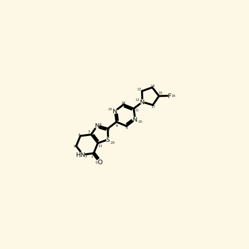 O=C1NCCc2nc(-c3cnc(N4CCC(F)C4)cn3)sc21